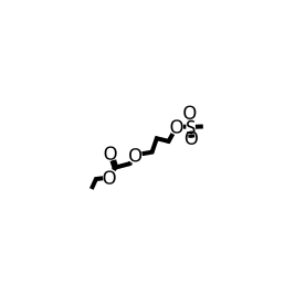 CCOC(=O)COCCCOS(C)(=O)=O